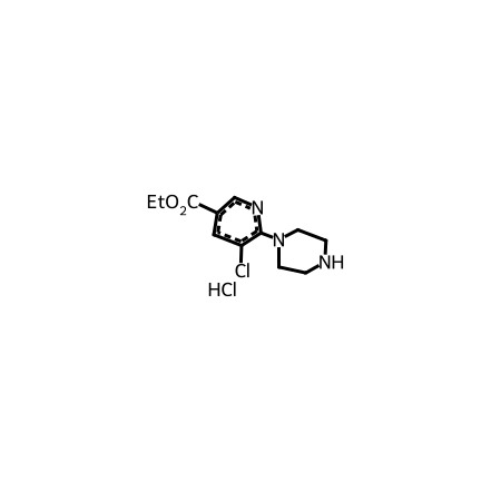 CCOC(=O)c1cnc(N2CCNCC2)c(Cl)c1.Cl